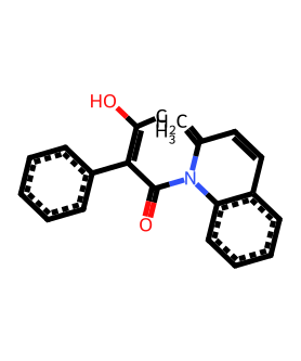 C=C1C=Cc2ccccc2N1C(=O)/C(=C(\C)O)c1ccccc1